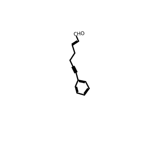 O=C/C=C/CCC#Cc1ccccc1